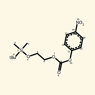 CC(C)(C)[Si](C)(C)OCCOC(=O)Oc1ccc([N+](=O)[O-])cc1